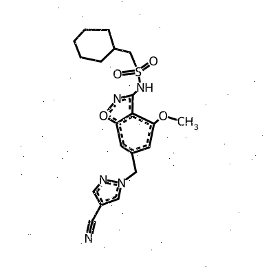 COc1cc(Cn2cc(C#N)cn2)cc2onc(NS(=O)(=O)CC3CCCCC3)c12